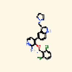 Nc1nccc(-c2ccc3[nH]cc(CN4CCCC4)c3c2)c1OCc1c(Cl)cccc1Cl